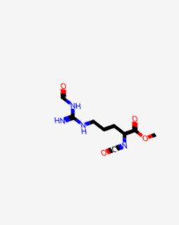 COC(=O)C(CCCNC(=N)NC=O)N=C=O